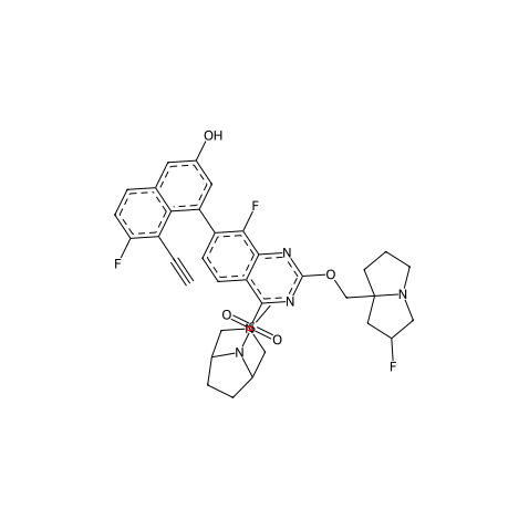 C#Cc1c(F)ccc2cc(O)cc(-c3ccc4c(N5CC6CCC(C5)N6S(C)(=O)=O)nc(OCC56CCCN5CC(F)C6)nc4c3F)c12